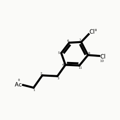 CC(=O)CCCc1ccc(Cl)c(Cl)c1